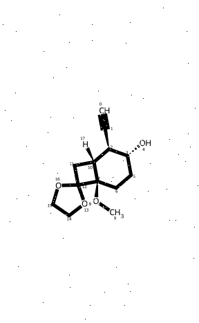 C#C[C@H]1[C@H](O)CC[C@@]2(OC)[C@@H]1CC21OCCO1